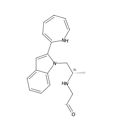 C[C@@H](Cn1c(C2=CC=CC=CN2)cc2ccccc21)NC[C]=O